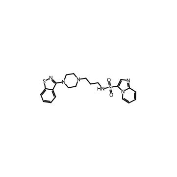 O=S(=O)(NCCCN1CCN(c2nsc3ccccc23)CC1)c1cnc2ccccn12